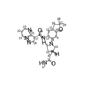 CNC(=O)C1C2CN(c3cc4c(cc3NC(=O)c3cnn5cccnc35)CC(C)(C)O4)C[C@@H]21